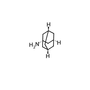 N[C@]12C[C@H]3C[C@H](C[C@H](C3)C1)C2